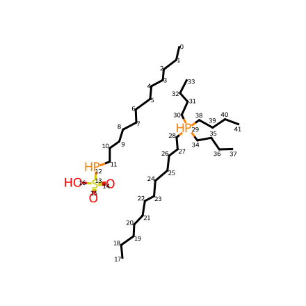 CCCCCCCCCCCCPS(=O)(=O)O.CCCCCCCCCCCC[PH](CCCC)(CCCC)CCCC